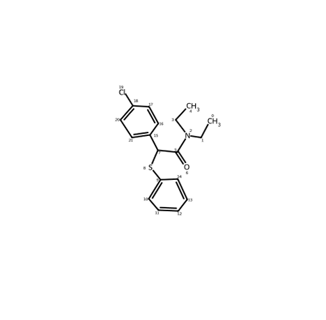 CCN(CC)C(=O)C(Sc1ccccc1)c1ccc(Cl)cc1